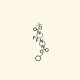 CC(C)(C)OC(=O)N1CC[C@H](N2CCN(C(=O)OCc3ccccc3)CC2)C(F)(F)C1